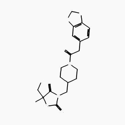 CC(C)CC1(C)NC(=N)N(CC2CCN(C(=O)Cc3ccc4c(c3)OCO4)CC2)C1=O